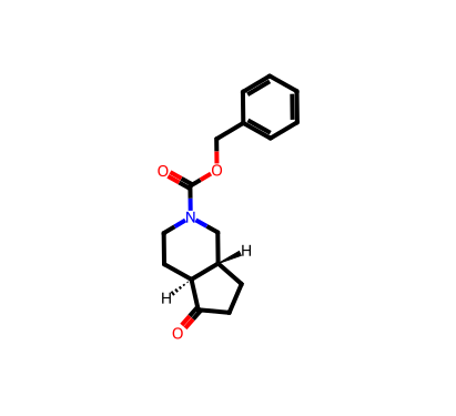 O=C1CC[C@H]2CN(C(=O)OCc3ccccc3)CC[C@H]12